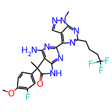 COc1ccc(C2(C)C(=O)Nc3nc(-c4nc(CCCC(F)(F)F)nc5c4cnn5C)nc(N)c32)cc1F